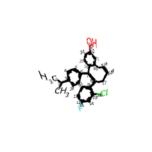 CC(C)c1ccc(C2=C(c3ccc(F)cc3Cl)CCCc3cc(O)ccc32)cc1